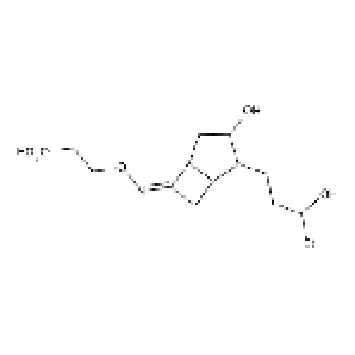 CCC(O)CCC1C(O)CC2C(=NOCCC(=O)O)CC21